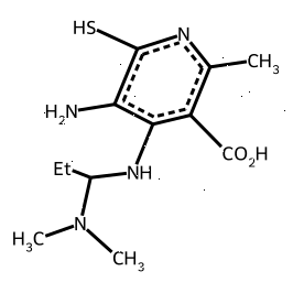 CCC(Nc1c(N)c(S)nc(C)c1C(=O)O)N(C)C